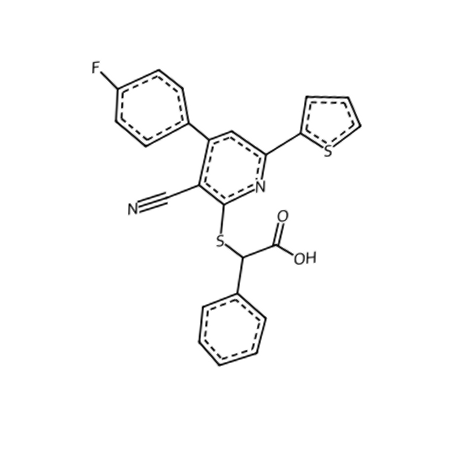 N#Cc1c(-c2ccc(F)cc2)cc(-c2cccs2)nc1SC(C(=O)O)c1ccccc1